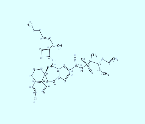 C=CC[C@H](OC)[C@@H](C)S(=O)(=O)NC(=O)c1ccc2c(c1)N(C[C@@H]1CC[C@H]1[C@@H](O)/C=C/CCC)C[C@@]1(CCCc3cc(Cl)ccc31)CO2